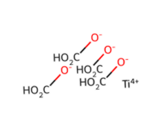 O=C([O-])O.O=C([O-])O.O=C([O-])O.O=C([O-])O.[Ti+4]